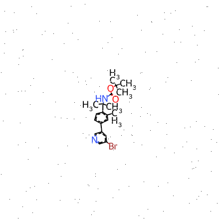 Cc1cc(-c2cncc(Br)c2)ccc1C(C)(C)NC(=O)OC(C)(C)C